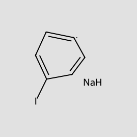 Ic1cc[c]cc1.[NaH]